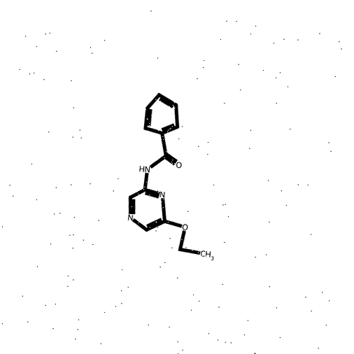 CCOc1cncc(NC(=O)c2ccccc2)n1